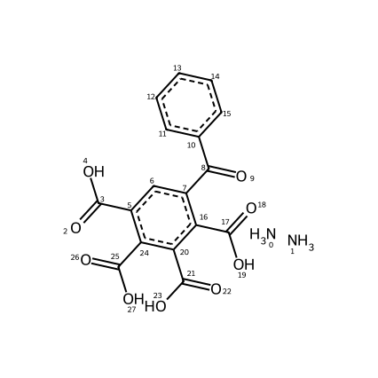 N.N.O=C(O)c1cc(C(=O)c2ccccc2)c(C(=O)O)c(C(=O)O)c1C(=O)O